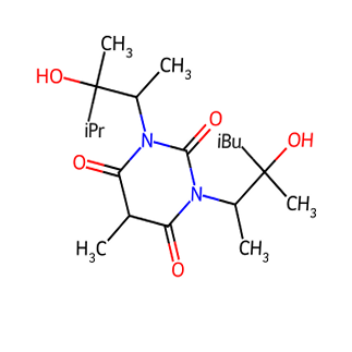 CCC(C)C(C)(O)C(C)N1C(=O)C(C)C(=O)N(C(C)C(C)(O)C(C)C)C1=O